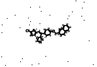 Clc1ncc(C=C(c2ccc(OCc3ccc4ccccc4n3)cc2)c2nnco2)s1